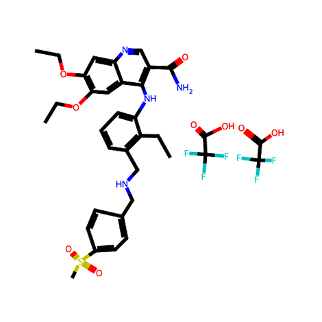 CCOc1cc2ncc(C(N)=O)c(Nc3cccc(CNCc4ccc(S(C)(=O)=O)cc4)c3CC)c2cc1OCC.O=C(O)C(F)(F)F.O=C(O)C(F)(F)F